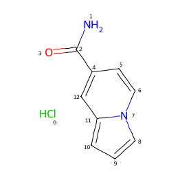 Cl.NC(=O)c1ccn2cccc2c1